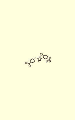 O=C(O)c1ccc(Cc2nc(-c3cc(C(F)(F)F)ccc3Cl)cs2)cc1